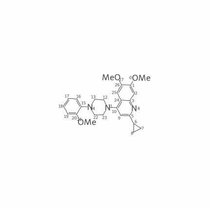 COc1cc2nc(C3CC3)cc(N3CCN(c4ccccc4OC)CC3)c2cc1OC